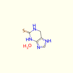 O.S=C1NCc2[nH]cnc2N1